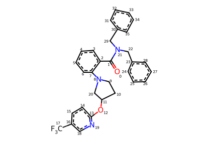 O=C(c1ccccc1N1CCC(Oc2ccc(C(F)(F)F)cn2)C1)N(Cc1ccccc1)Cc1ccccc1